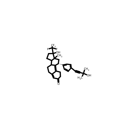 CC(C)(O)C#Cc1ccc([C@H]2CC3(C)C(CCC3(O)C(F)(F)C(F)(F)F)C3CCC4=CC(=O)CCC4=C32)cc1